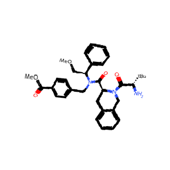 COC[C@@H](c1ccccc1)N(Cc1ccc(C(=O)OC)cc1)C(=O)[C@@H]1Cc2ccccc2CN1C(=O)[C@@H](N)C(C)(C)C